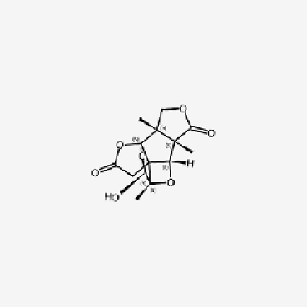 C[C@@]12COC(=O)[C@]1(C)[C@@H]1O[C@]3(C)[C@@H](O)C[C@]24OC(=O)CC134